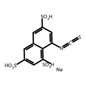 O=S(=O)(O)c1cc(N=C=S)c2c(S(=O)(=O)O)cc(S(=O)(=O)O)cc2c1.[Na]